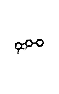 Brc1cccc2c1sc1cc(-c3ccccc3)ccc12